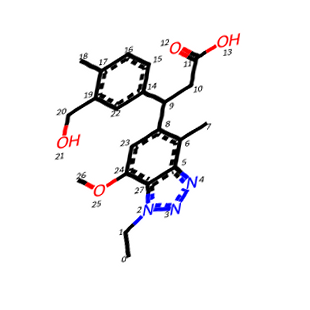 CCn1nnc2c(C)c(C(CC(=O)O)c3ccc(C)c(CO)c3)cc(OC)c21